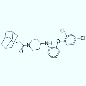 O=C(CC12CC3CC(CC(C3)C1)C2)N1CCC(Nc2ccccc2Oc2ccc(Cl)cc2Cl)CC1